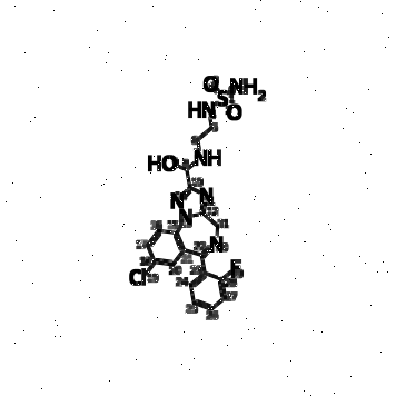 NS(=O)(=O)NCCNC(O)c1nc2n(n1)-c1ccc(Cl)cc1C(c1ccccc1F)=NC2